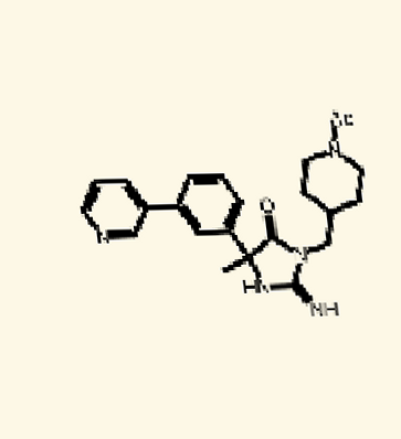 CC(=O)N1CCC(CN2C(=N)NC(C)(c3cccc(-c4cccnc4)c3)C2=O)CC1